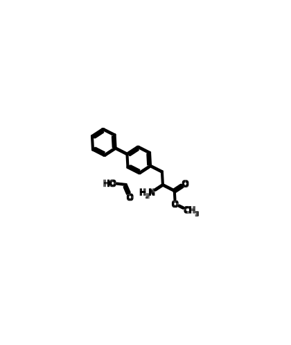 COC(=O)C(N)Cc1ccc(-c2ccccc2)cc1.O=CO